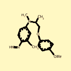 COc1ccc(OCC(C)N(C)c2ccc(N=N)c(C)c2)cc1